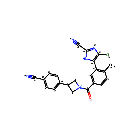 Cc1ccc(C(=O)N2CC(c3ccc(C#N)cc3)C2)cc1-c1[nH]c(C#N)nc1Cl